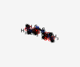 CCN(CCCCCCN(CC)c1ccc2c(-c3ccccc3S(=O)(=O)O)c3ccc(N(CCN4C(=O)c5ccccc5C4=O)c4c(C)cccc4C)cc3[o+]c2c1)c1ccc2c(c1)OC1C=C(N(CCN3C(=O)c4ccccc4C3=O)c3c(C)cccc3C)C=CC1=C2c1ccccc1S(=O)(=O)[O-]